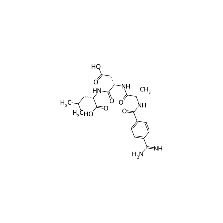 CC(C)C[C@H](NC(=O)[C@H](CC(=O)O)NC(=O)[C@H](C)NC(=O)c1ccc(C(=N)N)cc1)C(=O)O